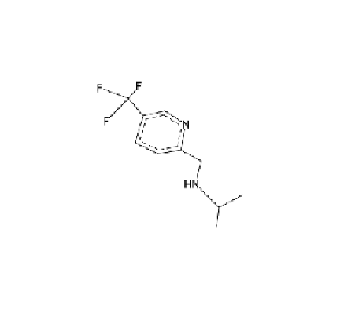 CC(C)NCc1ccc(C(F)(F)F)cn1